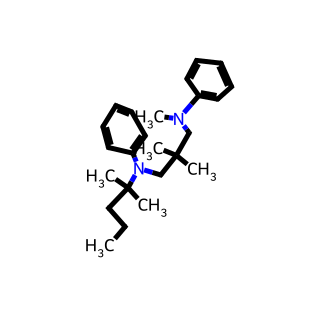 CCCC(C)(C)N(CC(C)(C)CN(C)c1ccccc1)c1ccccc1